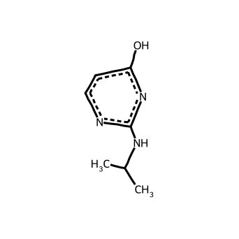 CC(C)Nc1nccc(O)n1